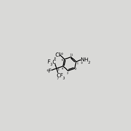 Nc1ccc(C(F)(C(F)(F)F)C(F)(F)F)c(Cl)c1